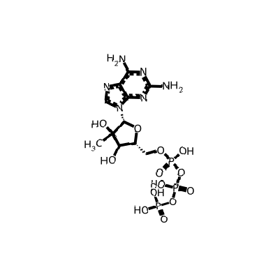 CC1(O)C(O)[C@@H](COP(=O)(O)OP(=O)(O)OP(=O)(O)O)O[C@H]1n1cnc2c(N)nc(N)nc21